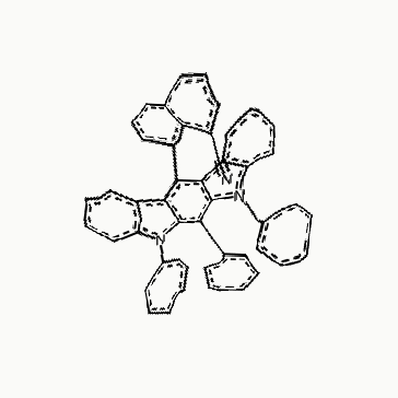 N#Cc1cccc2cccc(-c3c4c5ccccc5n(-c5ccccc5)c4c(-c4ccccc4)c4c3c3ccccc3n4-c3ccccc3)c12